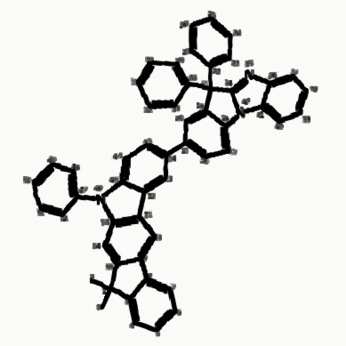 CC1(C)c2ccccc2-c2cc3c4cc(-c5ccc6c(c5)C(c5ccccc5)(c5ccccc5)c5nc7ccccc7n5-6)ccc4n(-c4ccccc4)c3cc21